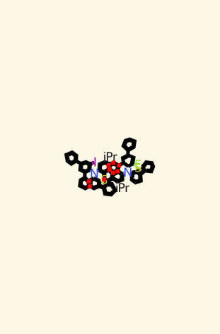 CC(C)c1cc(N(c2c(I)cc(-c3ccccc3)cc2-c2ccccc2)c2cccc3c2sc2ccccc23)c2ccc3c(C(C)C)cc(N(c4cccc5c4sc4ccccc45)C4C(F)=CC(c5ccccc5)=CC4c4ccccc4)c4ccc1c2c34